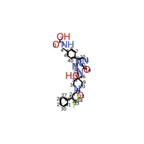 O=C(O)NCc1ccc(-c2cnc3c(=O)n(CC4(O)CCN(C(=O)CC(c5ccccc5)C(F)F)CC4)cnn23)cc1